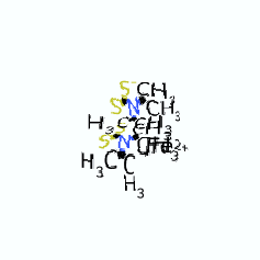 CC(C)N(C(=S)[S-])C(C)C.CC(C)N(C(=S)[S-])C(C)C.[Fe+2]